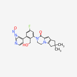 CC1(C)Cc2cc3n(c2C1)CCN(c1cc(F)cc(-c2ccnc4c2N4N=O)c1CO)C3=O